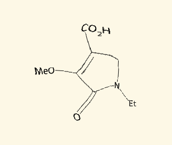 CCN1CC(C(=O)O)=C(OC)C1=O